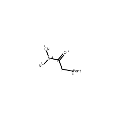 [CH2]CCCCCC(=O)N(C#N)C#N